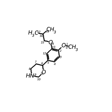 COc1ccc(C2CCNCO2)cc1OCC(C)C